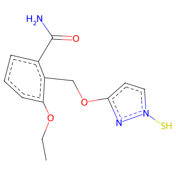 CCOc1cccc(C(N)=O)c1COc1ccn(S)n1